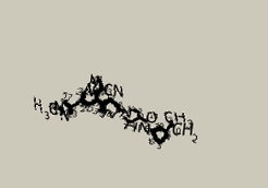 C=C(C)c1cccc(NC(=O)C2CCN(c3ccc(-c4cc(-c5cnn(C)c5)cn5ncc(C#N)c45)cn3)CC2)c1